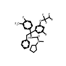 CN(C(=O)NC(Cc1ccccc1)(c1cc(F)cc(OC(F)(F)C(F)F)c1)c1ccc(F)c(C(F)(F)F)c1)C1CCCC1